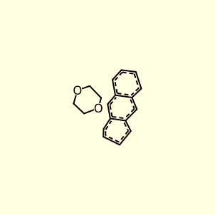 C1COCCO1.c1ccc2cc3ccccc3cc2c1